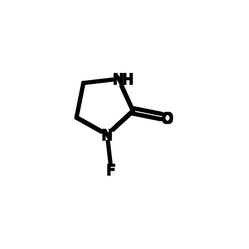 O=C1NCCN1F